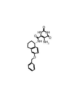 Nc1c(C(=O)N[C@H]2CCCc3cc(OCc4ccccc4)ccc32)[nH]c(=O)[nH]c1=O